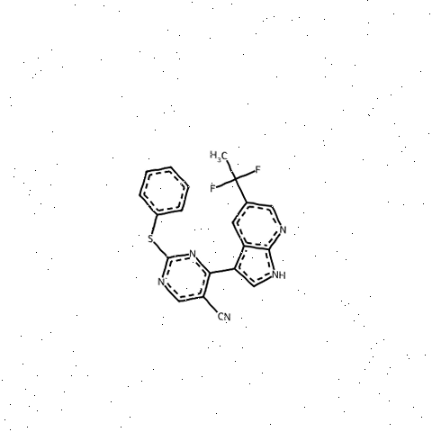 CC(F)(F)c1cnc2[nH]cc(-c3nc(Sc4ccccc4)ncc3C#N)c2c1